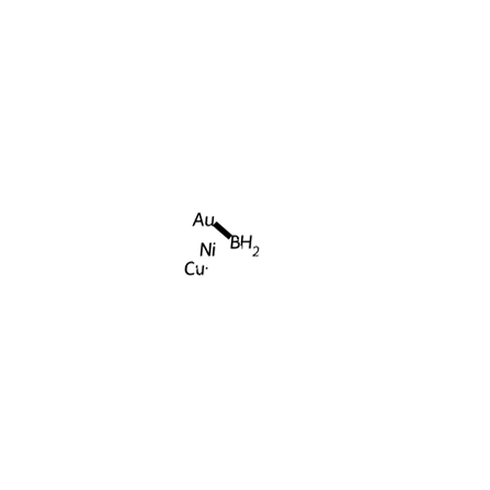 [BH2][Au].[Cu].[Ni]